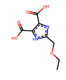 CCOCc1nc(C(=O)O)c(C(=O)O)[nH]1